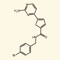 Nc1nccc(-c2ccc(C(=O)NCc3ccc(Br)cc3)s2)n1